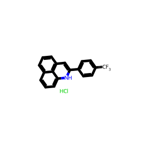 Cl.FC(F)(F)c1ccc(C2=Cc3cccc4cccc(c34)N2)cc1